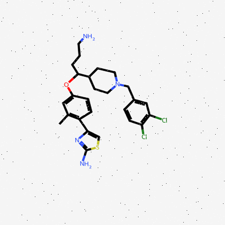 Cc1cc(OC(CCCN)C2CCN(Cc3ccc(Cl)c(Cl)c3)CC2)ccc1-c1csc(N)n1